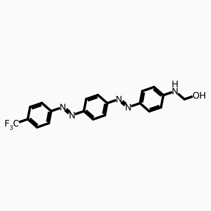 OCNc1ccc(N=Nc2ccc(N=Nc3ccc(C(F)(F)F)cc3)cc2)cc1